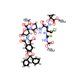 CC(C)(C)OC(=O)Nc1nc(/C(=N/OC2(C(=O)OC(C)(C)C)CC2)C(=O)N[C@H]2CON(C3(C(=O)OC(C)(C)C)C[C@H](N4C(=O)c5cc6c(cc5C4=O)OC(c4ccccc4)(c4ccccc4)O6)C(=O)O3)C2=O)c(Cl)s1